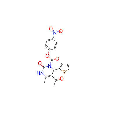 CC(=O)C1=C(C)NC(=O)N(C(=O)Oc2ccc([N+](=O)[O-])cc2)C1c1cccs1